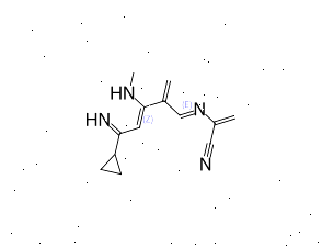 C=C(C#N)/N=C/C(=C)/C(=C/C(=N)C1CC1)NC